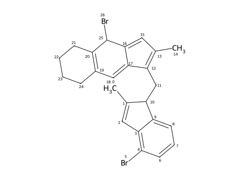 CC1=Cc2c(Br)cccc2C1CC1=C(C)C=C2C1=CC1=C(CCCC1)C2Br